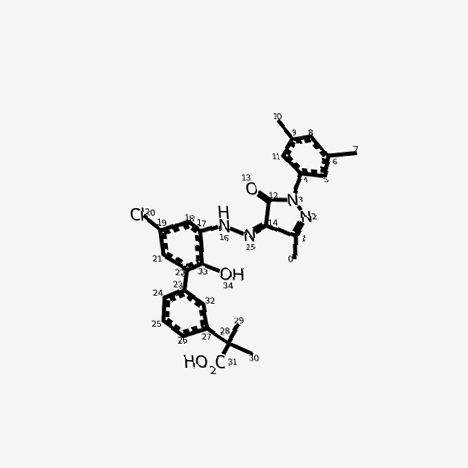 CC1=NN(c2cc(C)cc(C)c2)C(=O)/C1=N\Nc1cc(Cl)cc(-c2cccc(C(C)(C)C(=O)O)c2)c1O